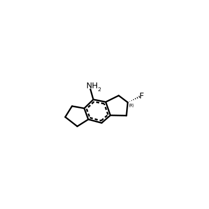 Nc1c2c(cc3c1C[C@H](F)C3)CCC2